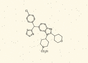 CCOC(=O)N1CCC(n2c(C3CCOCC3)nc3ccc(C(c4ccc(Cl)cc4)c4nccs4)cc32)CC1